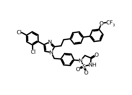 O=C1CN(c2ccc(Cn3cc(-c4ccc(Cl)cc4Cl)nc3CCc3ccc(-c4cccc(OC(F)(F)F)c4)cc3)cc2)S(=O)(=O)N1